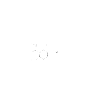 NCc1ccc(O)c(C(=O)NO)c1O